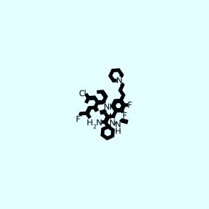 C=CNNC1(/C(N)=C(\Cc2ccc(CCCN3CCCCC3)c(F)c2F)C(=C)NC(/C=C\C)=C(/C=C(\C)Cl)C(=C)/C=C(\C)CF)CCCCC1